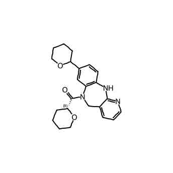 O=C([C@H]1CCCCO1)N1Cc2cccnc2Nc2ccc(C3CCCCO3)cc21